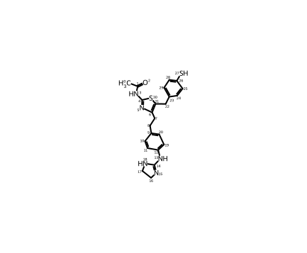 CC(=O)Nc1nc(CCc2ccc(NC3=NCCN3)cc2)c(Cc2ccc(S)cc2)s1